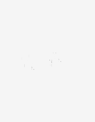 C/C=C(\C)NC(=O)NCc1ccnc(C(F)(F)F)c1